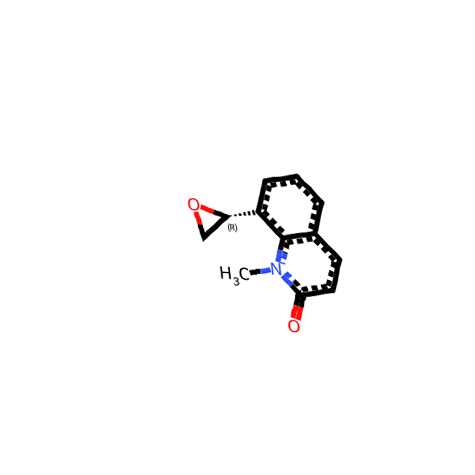 Cn1c(=O)ccc2cccc([C@@H]3CO3)c21